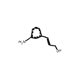 Nc1cc[c]c(C=CCO)c1